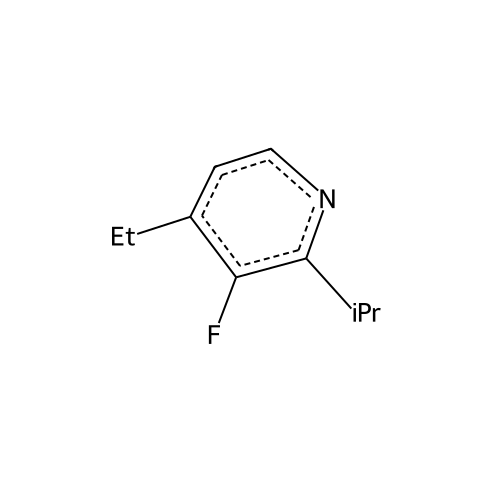 CCc1ccnc(C(C)C)c1F